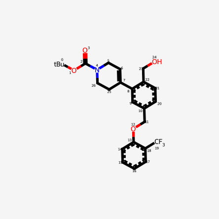 CC(C)(C)OC(=O)N1CC=C(c2cc(COc3ccccc3C(F)(F)F)ccc2CO)CC1